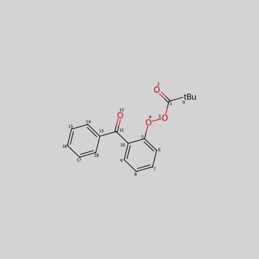 CC(C)(C)C(=O)OOc1ccccc1C(=O)c1ccccc1